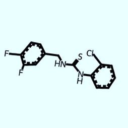 Fc1ccc(CNC(=S)Nc2ccccc2Cl)cc1F